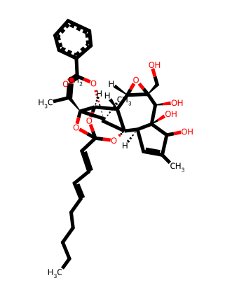 C=C(C)[C@@]12OC3(/C=C/C=C/CCCCC)O[C@@H]1[C@@H]1[C@@H]4O[C@]4(CO)[C@@H](O)[C@]4(O)C(O)C(C)=C[C@H]4[C@@]1(O3)[C@H](C)[C@H]2OC(=O)c1ccccc1